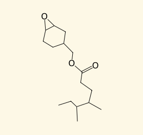 CCC(C)C(C)CCC(=O)OCC1CCC2OC2C1